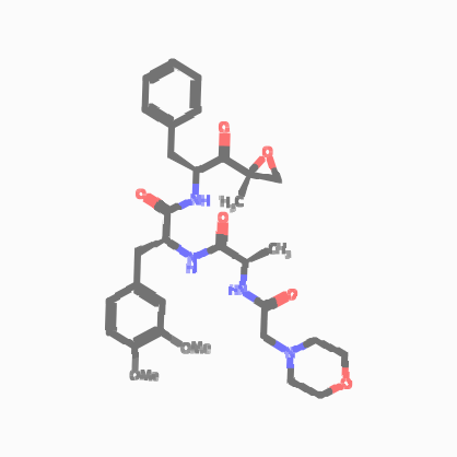 COc1ccc(C[C@H](NC(=O)[C@@H](C)NC(=O)CN2CCOCC2)C(=O)N[C@@H](Cc2ccccc2)C(=O)[C@@]2(C)CO2)cc1OC